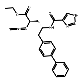 CCOC(=O)[C@@H](C[C@@H](Cc1ccc(-c2ccccc2)cc1)NC(=O)c1c[nH]nn1)N=[N+]=[N-]